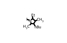 CCCCC1C(C)C(CC)N(I)C1C